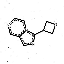 c1cn2c(C3COC3)ncc2cn1